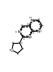 c1cnc2nc(C3CCOC3)ncc2n1